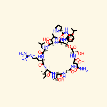 CC[C@H](C)[C@@H]1NC(=O)[C@@H](CCCNC(=N)N)NC(=O)[C@H](CC(C)C)NC(=O)[C@H]([C@H](O)C(C)C)NC(=O)[C@@H](NC(=O)[C@H](CC(C)C)NC(=O)[C@H]2CCCN2)[C@@H](c2ccccc2)OC(=O)[C@H](CO)NC(=O)[C@H]([C@H](O)C(N)=O)NC(=O)CNC(=O)[C@H]([C@H](C)O)NC1=O